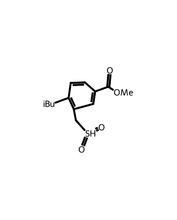 CCC(C)c1ccc(C(=O)OC)cc1C[SH](=O)=O